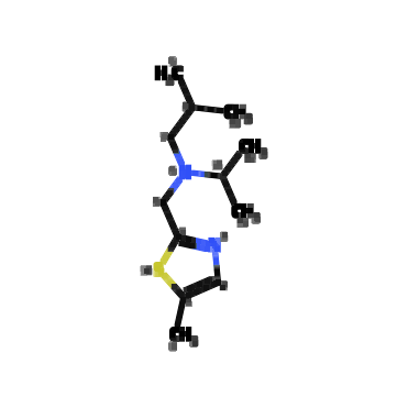 Cc1cnc(CN(CC(C)C)C(C)C)s1